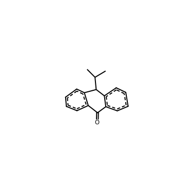 CC(C)C1c2ccccc2C(=O)c2ccccc21